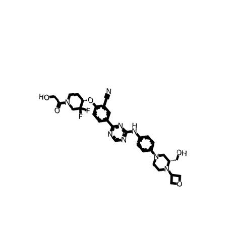 N#Cc1cc(-c2ncnc(Nc3ccc(N4CCN(C5COC5)[C@@H](CO)C4)cc3)n2)ccc1O[C@H]1CCN(C(=O)CO)CC1(F)F